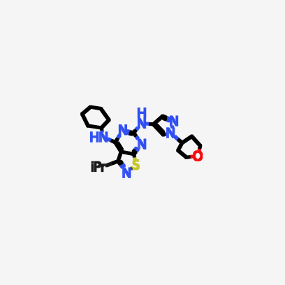 CC(C)c1nsc2nc(Nc3cnn(C4CCOCC4)c3)nc(NC3CCCCC3)c12